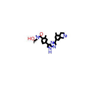 Cc1cc(-c2c[nH]c3ncc(-c4cc(C)c5c(c4)CN(C)CC5)nc23)ccc1C(=O)N(C)C[C@@H](C)O